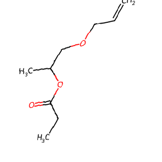 C=CCOCC(C)OC(=O)CC